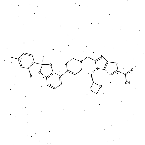 Cc1ccc([C@]2(C)Oc3cccc(C4=CCN(Cc5nc6sc(C(=O)O)cc6n5C[C@@H]5CCO5)CC4)c3O2)c(F)c1